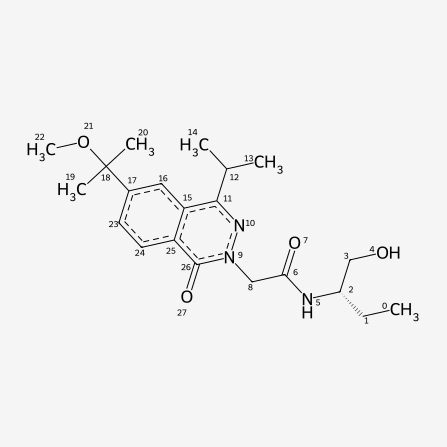 CC[C@@H](CO)NC(=O)Cn1nc(C(C)C)c2cc(C(C)(C)OC)ccc2c1=O